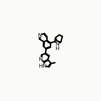 Cc1c[nH]c2ncc(-c3cc(C4NC5CCC4C5)c4ccncc4c3)cc12